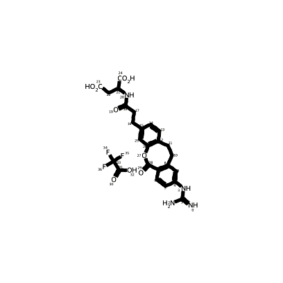 N=C(N)Nc1ccc2c(c1)CCc1ccc(CCC(=O)NC(CC(=O)O)C(=O)O)cc1OC2=O.O=C(O)C(F)(F)F